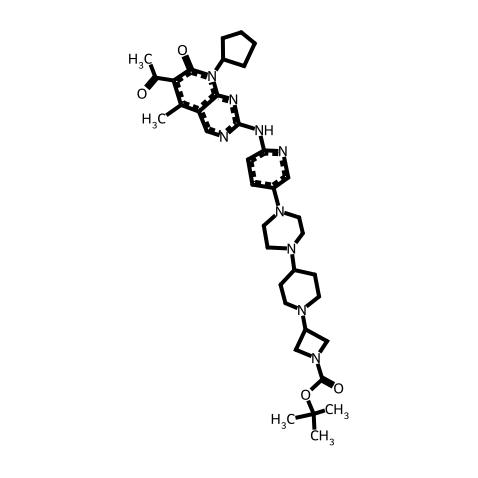 CC(=O)c1c(C)c2cnc(Nc3ccc(N4CCN(C5CCN(C6CN(C(=O)OC(C)(C)C)C6)CC5)CC4)cn3)nc2n(C2CCCC2)c1=O